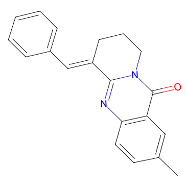 Cc1ccc2nc3n(c(=O)c2c1)CCCC3=Cc1ccccc1